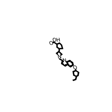 CCC1CCC(Oc2ccc3nc(CN4CC(C5CCCC(C(=O)O)C5)C4)ccc3c2)CC1